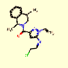 C=Cn1nc(C(=O)N2CC(C)c3ccccc3C2C)cc1/N=C\CCl